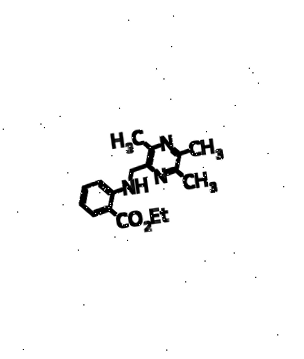 CCOC(=O)c1ccccc1NCc1nc(C)c(C)nc1C